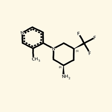 Cc1cnccc1N1C[C@H](N)C[C@H](C(F)(F)F)C1